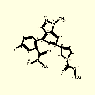 CCN(C(=O)c1cc(F)ccc1-c1cc(C2=CCN(C(=O)OC(C)(C)C)C2)cc2c1cnn2C)C(C)C